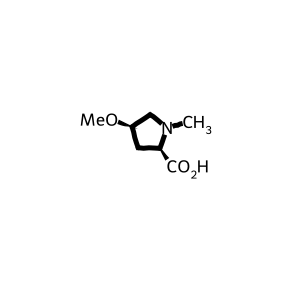 CO[C@@H]1C[C@H](C(=O)O)N(C)C1